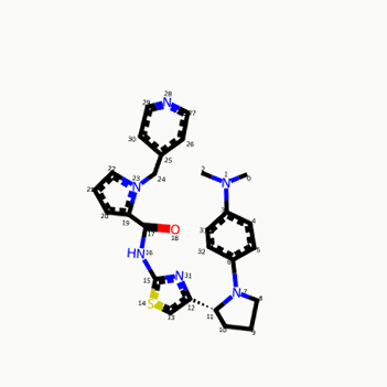 CN(C)c1ccc(N2CCC[C@@H]2c2csc(NC(=O)c3cccn3Cc3ccncc3)n2)cc1